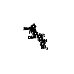 CCc1cc(-c2ccc(NS(=O)(=O)c3ccccc3OC)nc2OC)cc2cnc(N[C@H]3CC[C@H](N)CC3)nc12